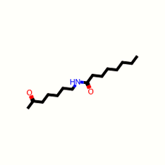 CCCCCCCC(=O)NCCCCCC(C)=O